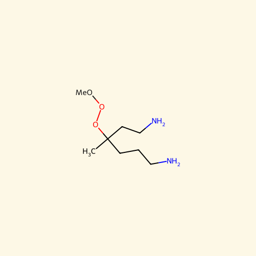 COOOC(C)(CCN)CCCN